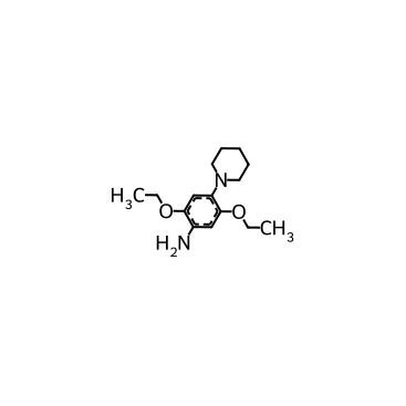 CCOc1cc(N2CCCCC2)c(OCC)cc1N